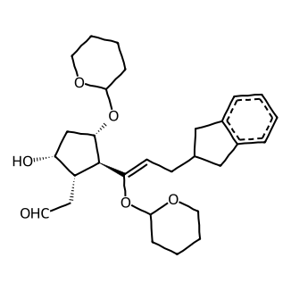 O=CC[C@H]1[C@H](C(=CCC2Cc3ccccc3C2)OC2CCCCO2)[C@@H](OC2CCCCO2)C[C@H]1O